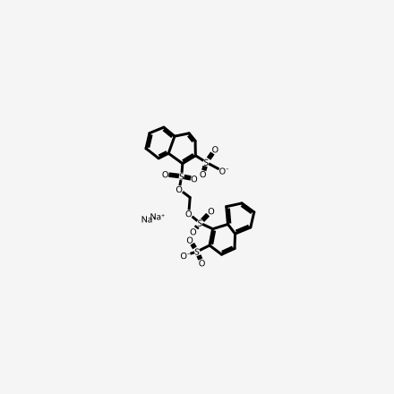 O=S(=O)([O-])c1ccc2ccccc2c1S(=O)(=O)OCOS(=O)(=O)c1c(S(=O)(=O)[O-])ccc2ccccc12.[Na+].[Na+]